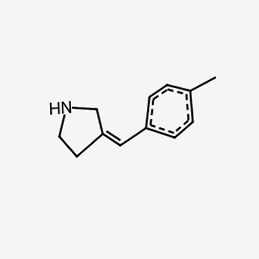 Cc1ccc(C=C2CCNC2)cc1